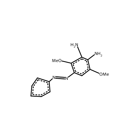 COc1cc(N=Nc2ccccc2)c(OC)c(N)c1N